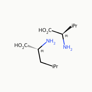 CC(C)C[C@@H](N)C(=O)O.CC(C)[C@@H](N)C(=O)O